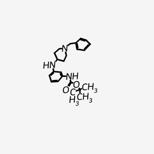 CC(C)(C)OC(=O)Nc1cccc(NC2CCN(Cc3ccccc3)CC2)c1